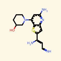 N=C/C=C(\N)c1cc2nc(N)cc(N3CCCC(O)C3)c2s1